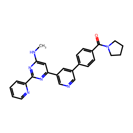 CNc1cc(-c2cncc(-c3ccc(C(=O)N4CCCC4)cc3)c2)nc(-c2ccccn2)n1